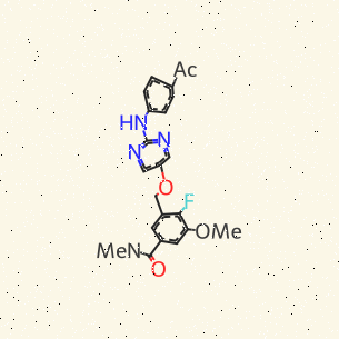 CNC(=O)c1cc(COc2cnc(Nc3ccc(C(C)=O)cc3)nc2)c(F)c(OC)c1